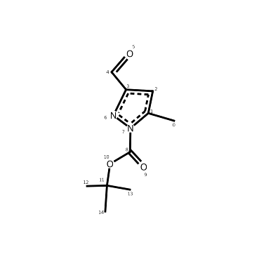 Cc1cc(C=O)nn1C(=O)OC(C)(C)C